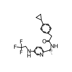 C[C@@H](NC(=O)Cc1ccc(C2CC2)cc1)c1ccc(NCC(F)(F)F)cn1